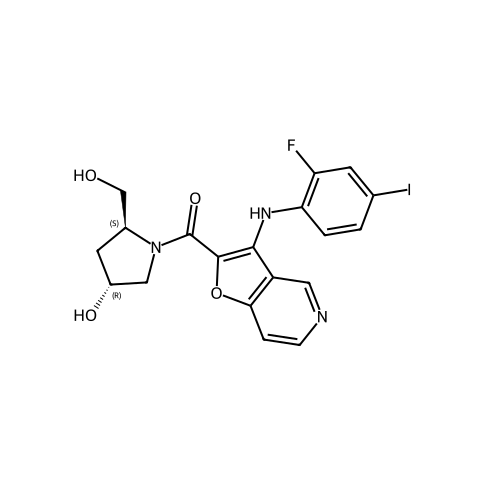 O=C(c1oc2ccncc2c1Nc1ccc(I)cc1F)N1C[C@H](O)C[C@H]1CO